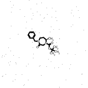 C[C@@H]1CCN(Cc2ccccc2)C(=O)CN1C(=O)OC(C)(C)C